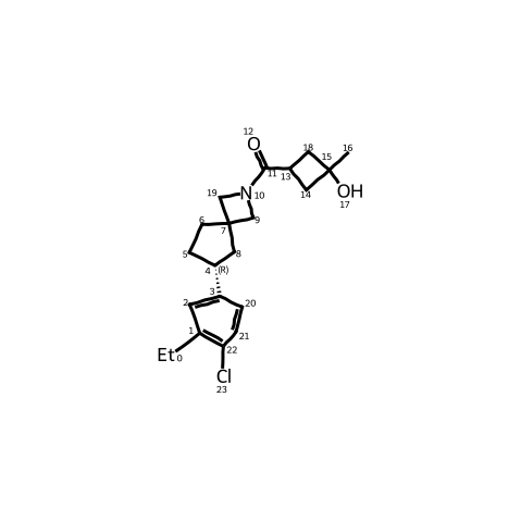 CCc1cc([C@@H]2CCC3(C2)CN(C(=O)C2CC(C)(O)C2)C3)ccc1Cl